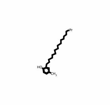 Cc1ccc(O)c(CCCCCCCCCCCCCCCC(C)C)c1